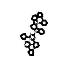 c1ccc(-c2nc(-c3ccccc3-c3ccccc3-c3ccccc3)nc(-n3c4ccccc4c4c3ccc3c5ccccc5n(-c5ccccc5-c5ccccc5)c34)n2)cc1